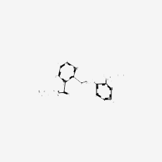 CNC(=O)c1ccccc1COc1ccccc1C=O